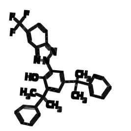 CC(C)(c1ccccc1)c1cc(-n2nc3ccc(C(F)(F)F)cc3n2)c(O)c(C(C)(C)c2ccccc2)c1